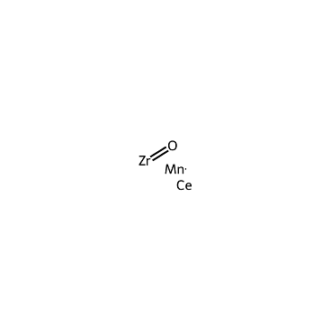 [Ce].[Mn].[O]=[Zr]